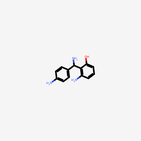 Nc1ccc(C(N)c2c(N)cccc2O)cc1